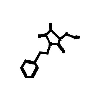 CC(C)(C)SN1C(=O)C(=O)N(CCc2ccccc2)C1=O